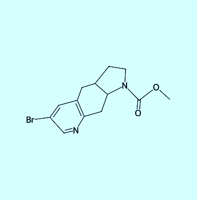 COC(=O)N1CCC2Cc3cc(Br)cnc3CC21